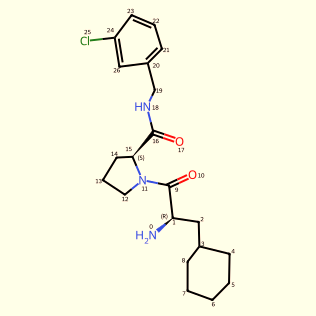 N[C@H](CC1CCCCC1)C(=O)N1CCC[C@H]1C(=O)NCc1cccc(Cl)c1